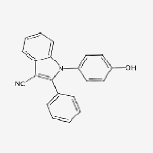 N#Cc1c(-c2ccccc2)n(-c2ccc(O)cc2)c2ccccc12